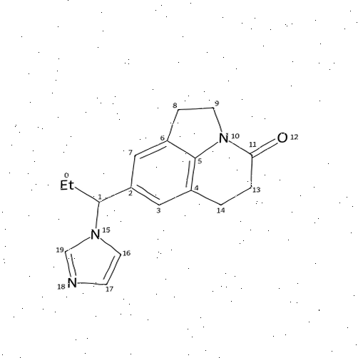 CCC(c1cc2c3c(c1)CCN3C(=O)CC2)n1ccnc1